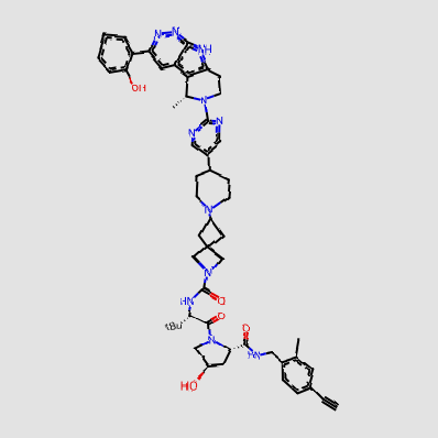 C#Cc1ccc(CNC(=O)[C@@H]2C[C@@H](O)CN2C(=O)[C@@H](NC(=O)N2CC3(CC(N4CCC(c5cnc(N6CCc7[nH]c8nnc(-c9ccccc9O)cc8c7[C@H]6C)nc5)CC4)C3)C2)C(C)(C)C)c(C)c1